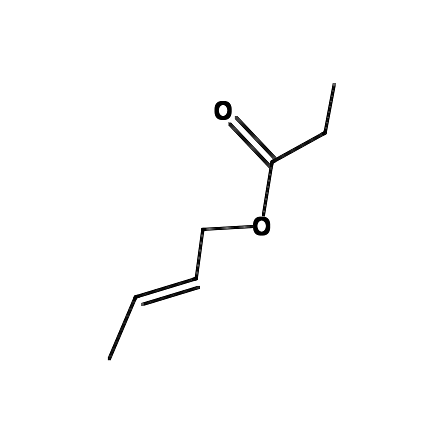 CC=CCOC(=O)CC